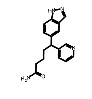 NC(=O)CCCC(c1cccnc1)c1ccc2[nH]ncc2c1